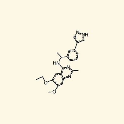 CCOc1cc2c(NC(C)c3cccc(-c4cn[nH]c4)c3)nc(C)nc2cc1OC